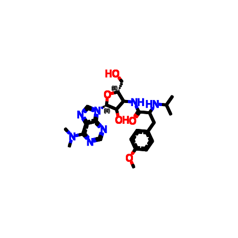 COc1ccc(CC(NC(C)C)C(=O)NC2C(O)[C@H](n3cnc4c(N(C)C)ncnc43)O[C@@H]2CO)cc1